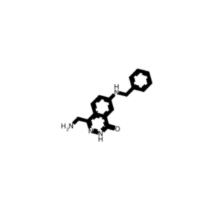 NCc1n[nH]c(=O)c2cc(NCc3ccccc3)ccc12